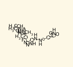 Cc1c([C@@H](C)NC(=O)c2noc(C(C)(C)C)n2)ccc(-c2ncnc3[nH]c4cc(NCCNC5CC(c6ccc([C@@H]7CCC(=O)NC7=O)cc6)C5)ccc4c23)c1F